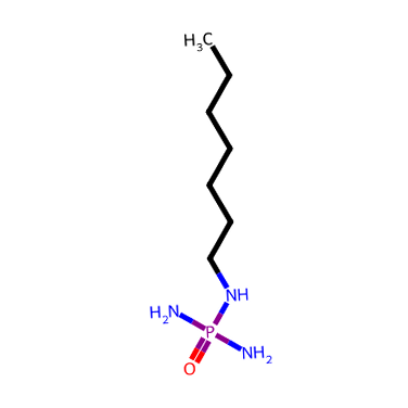 CCCCCCCNP(N)(N)=O